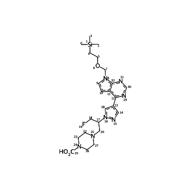 C[Si](C)(C)CCOCn1ccc2c(-c3cnn(C(CF)CN4CCN(C(=O)O)CC4)c3)ncnc21